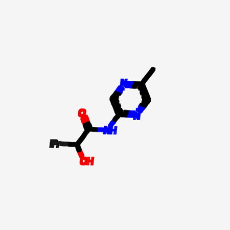 Cc1cnc(NC(=O)C(O)C(C)C)cn1